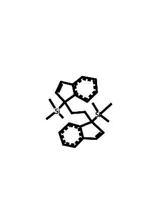 C[Si](C)(C)C1(CCC2([Si](C)(C)C)C=Cc3ccccc32)C=Cc2ccccc21